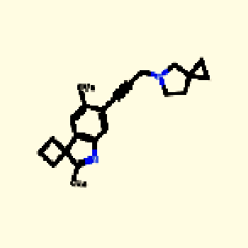 CNC1=Nc2cc(C#CCN3CCC4(CC4)C3)c(OC)cc2C12CCC2